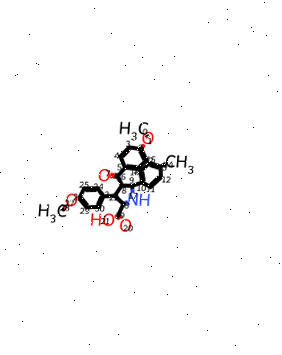 COc1ccc(C(=O)C2C(c3ccc(C)cc3)NC(C(=O)O)C2c2ccc(OC)cc2)cc1